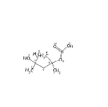 CC(C)(O)CC(C)(C)OC(=O)O